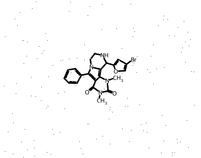 Cn1c(=O)c2c(-c3ccccc3)n3c(c2n(C)c1=O)C(c1cc(Br)co1)NCC3